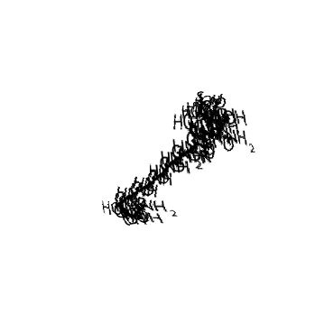 CSCC[C@H](NC(=O)[C@H](CO)NC(=O)[C@H](CO)NC(=O)[C@H](CCC(N)=O)NC(=O)[C@H](CC(=O)O)NC(=O)[C@H](CCC(N)=O)NC(=O)CNC(=O)[C@H](Cc1ccc(O)cc1)NC(=O)[C@H](CC(N)=O)NC(=O)CNC(=O)CNC(=O)CNC(=O)CNC(=O)CNC(=O)CNC(=O)CNC(=O)CNC(=O)CNC(=O)CNC(=O)[C@H](CO)NC(=O)[C@H](CO)NC(=O)[C@H](CO)NC(=O)[C@@H](N)CC(N)=O)C(=O)O